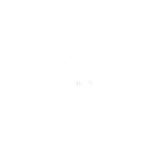 O=NO.c1ccc2sccc2c1.c1ccc2sccc2c1